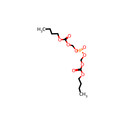 CCCCOC(=O)OCO[PH](=O)OCOC(=O)OCCCC